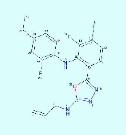 C=CCNc1nnc(-c2ccc(F)c(F)c2Nc2ccc(CC)cc2F)o1